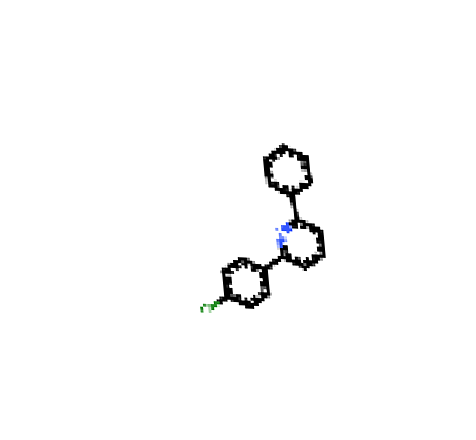 Clc1ccc(-c2cccc(-c3ccccc3)n2)cc1